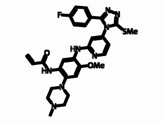 C=CC(=O)Nc1cc(Nc2cc(-n3c(SC)nnc3-c3ccc(F)cc3)ccn2)c(OC)cc1N1CCN(C)CC1